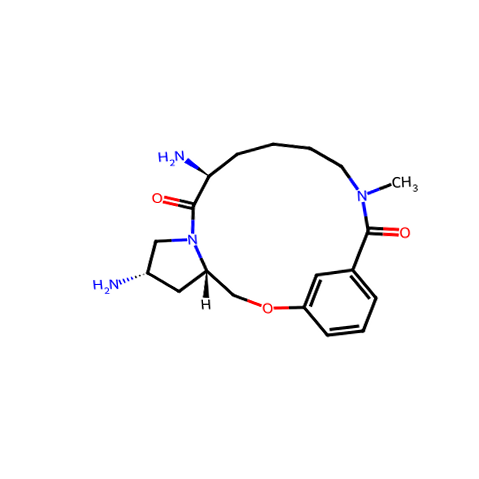 CN1CCCC[C@H](N)C(=O)N2C[C@@H](N)C[C@H]2COc2cccc(c2)C1=O